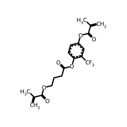 C=C(C)C(=O)OCCCC(=O)Oc1ccc(OC(=O)C(=C)C)cc1C(F)(F)F